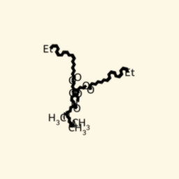 CC/C=C\C/C=C\C/C=C\C/C=C\CCCCCC(=O)OCCC1OC2(CCN(C(=O)CCCN(C)CCN(C)C)CC2)OC1CCOC(=O)CCCCC/C=C\C/C=C\C/C=C\C/C=C\CC